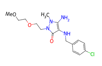 COCCOCCn1c(=O)c(NCc2ccc(Cl)cc2)c(N)n1C